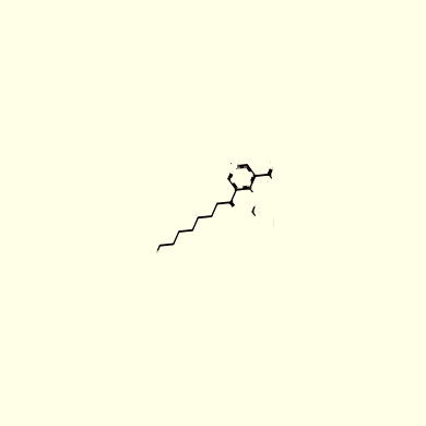 CCCCCCCCC(=O)c1cncc(C(=O)O)c1OCC